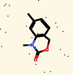 Cc1ccc2c(c1)N(C)C(=O)OC2